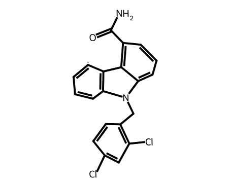 NC(=O)c1cccc2c1c1[c]cccc1n2Cc1ccc(Cl)cc1Cl